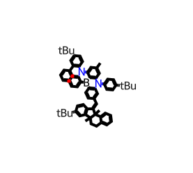 Cc1cc2c3c(c1)N(c1ccc(C(C)(C)C)cc1-c1ccccc1)c1ccccc1B3c1ccc(/C=C3\c4ccc(C(C)(C)C)cc4C4(C)CCc5ccccc5C34C)cc1N2c1ccc(C(C)(C)C)cc1